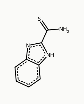 NC(=S)c1nc2ccccc2[nH]1